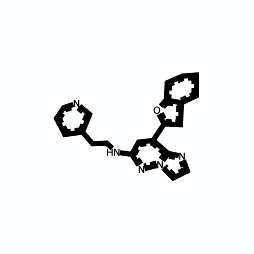 c1cncc(CCNc2cc(-c3cc4ccccc4o3)c3nccn3n2)c1